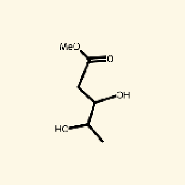 COC(=O)CC(O)C(C)O